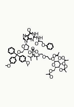 COc1ccc(C(OC[C@H]2O[C@@H](n3cnc4c(=O)[nH]c(NC(=O)COc5ccccc5)nc43)C[C@@H]2OP(=O)(OCCOCCO[C@@H]2O[C@H](COC(C)=O)[C@@H](OC(C)=O)[C@H](OC(C)=O)[C@H]2OC(C)=O)N(C(C)C)C(C)C)(c2ccccc2)c2ccc(OC)cc2)cc1